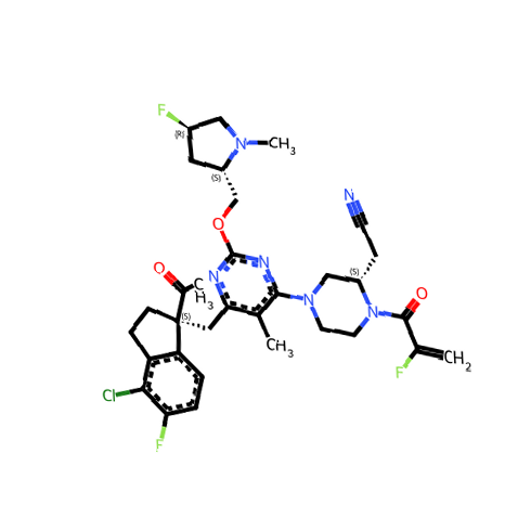 C=C(F)C(=O)N1CCN(c2nc(OC[C@@H]3C[C@@H](F)CN3C)nc(C[C@@]3(C(C)=O)CCc4c3ccc(F)c4Cl)c2C)C[C@@H]1CC#N